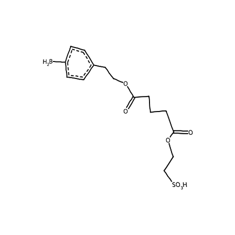 Bc1ccc(CCOC(=O)CCCC(=O)OCCS(=O)(=O)O)cc1